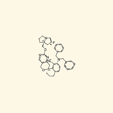 N#Cc1c(N(Cc2ccccc2)Cc2ccccc2)ccc2c1[C@]1(CCC2)Cc2nc(OC[C@@]34CCCN3C[C@H](F)C4)ncc2CO1